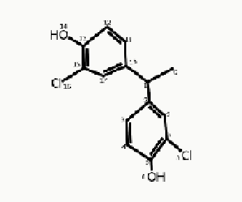 CC(c1ccc(O)c(Cl)c1)c1ccc(O)c(Cl)c1